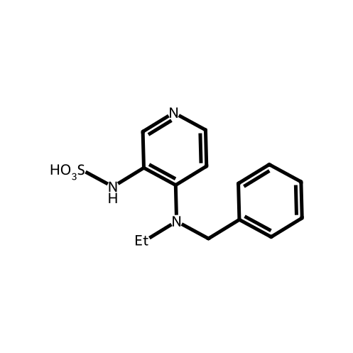 CCN(Cc1ccccc1)c1ccncc1NS(=O)(=O)O